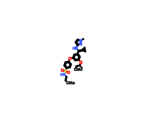 COCCNS(=O)(=O)c1ccc(Oc2cc(O[C@@H](C)COC)cc(C(Nc3ccn(C)n3)=C3CC3)c2)cc1